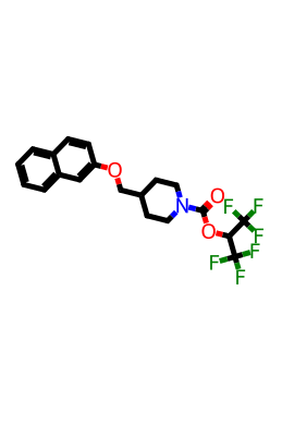 O=C(OC(C(F)(F)F)C(F)(F)F)N1CCC(COc2ccc3ccccc3c2)CC1